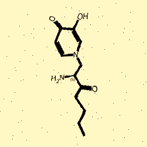 CCCCC(=O)[C@@H](N)Cn1ccc(=O)c(O)c1